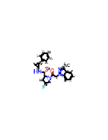 CC(=O)c1nn(CC(=O)N2C[C@H](F)C[C@H]2C(=O)N[C@@H]2C[C@H]2c2ccccc2)c2ccccc12